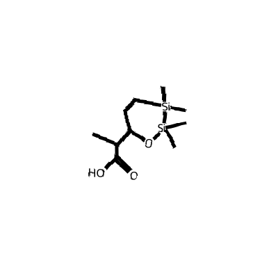 CC(C(=O)O)C1CC[Si](C)(C)[Si](C)(C)O1